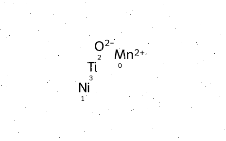 [Mn+2].[Ni].[O-2].[Ti]